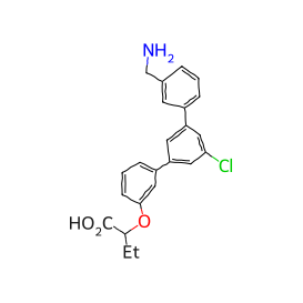 CCC(Oc1cccc(-c2cc(Cl)cc(-c3cccc(CN)c3)c2)c1)C(=O)O